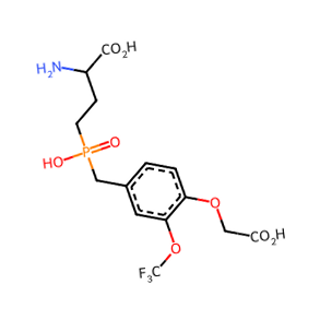 NC(CCP(=O)(O)Cc1ccc(OCC(=O)O)c(OC(F)(F)F)c1)C(=O)O